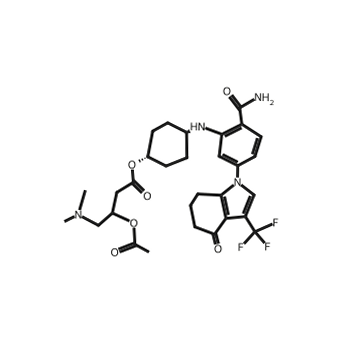 CC(=O)OC(CC(=O)O[C@H]1CC[C@H](Nc2cc(-n3cc(C(F)(F)F)c4c3CCCC4=O)ccc2C(N)=O)CC1)CN(C)C